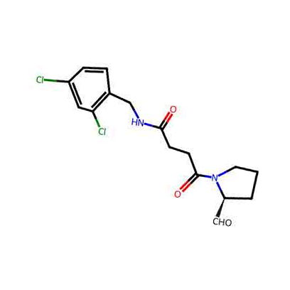 O=C[C@@H]1CCCN1C(=O)CCC(=O)NCc1ccc(Cl)cc1Cl